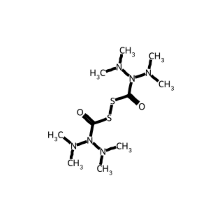 CN(C)N(C(=O)SSC(=O)N(N(C)C)N(C)C)N(C)C